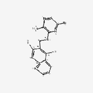 Nc1ncc(Br)nc1NCc1c(F)cc2ncccc2c1F